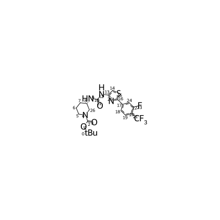 CC(C)(C)OC(=O)N1CCC[C@H](NC(=O)Nc2csc(-c3ccc(C(F)(F)F)c(F)c3)n2)C1